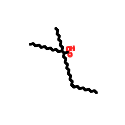 CCCCCCCC/C=C\CCCCCCCCCCC(C(=O)O)C(CCCCCCCC)CCCCCCCCCCC